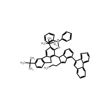 CCCC1=Cc2c(-c3cc4ccccc4c4ccccc34)cccc2C1c1c2c(cc(C(C)(C)C)[c]1[Zr][SiH](c1ccccc1)c1ccccc1)-c1cc(C(C)(C)C)ccc1C2